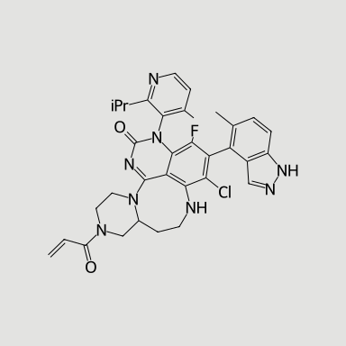 C=CC(=O)N1CCN2c3nc(=O)n(-c4c(C)ccnc4C(C)C)c4c(F)c(-c5c(C)ccc6[nH]ncc56)c(Cl)c(c34)NCCC2C1